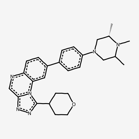 CC1CN(c2ccc(-c3ccc4ncc5nnc(C6CCOCC6)n5c4c3)cc2)C[C@H](C)N1C